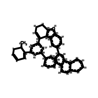 CC1CC=CC=C1c1nc(C2=CCCc3oc4ccc(-c5ccc6ccc7ccccc7c6c5)cc4c32)nc(-c2ccccc2)n1